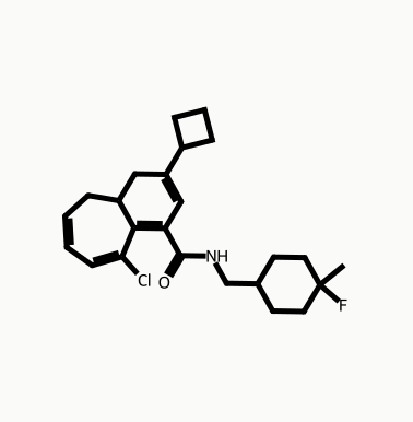 CC1(F)CCC(CNC(=O)C2=C3C(Cl)=CC=CCC3CC(C3CCC3)=C2)CC1